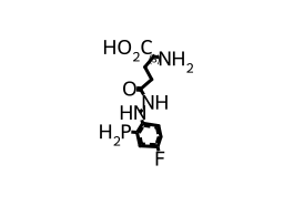 N[C@@H](CCC(=O)NNc1ccc(F)cc1P)C(=O)O